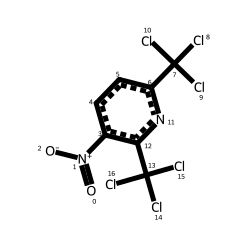 O=[N+]([O-])c1ccc(C(Cl)(Cl)Cl)nc1C(Cl)(Cl)Cl